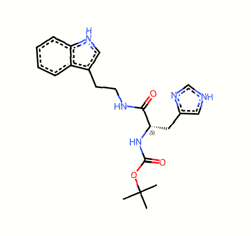 CC(C)(C)OC(=O)N[C@@H](Cc1c[nH]cn1)C(=O)NCCc1c[nH]c2ccccc12